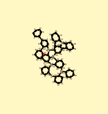 c1ccc(-c2ccc(N3c4cccc5c4B(c4ccc6cc4N5c4ccccc4Sc4ccccc4N6c4ccccc4)c4cc5c6ccccc6n6c7ccccc7c(c43)c56)c(-c3ccccc3)c2)cc1